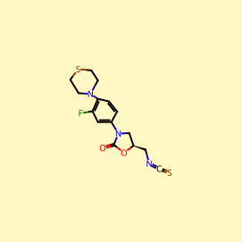 O=C1O[C@H](CN=C=S)CN1c1ccc(N2CCSCC2)c(F)c1